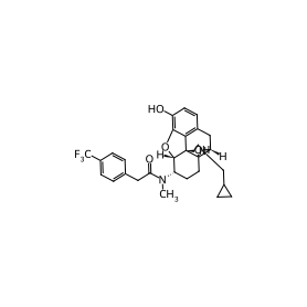 CN(C(=O)Cc1ccc(C(F)(F)F)cc1)[C@H]1CC[C@@]2(O)[C@H]3Cc4ccc(O)c5c4[C@@]2(CCN3CC2CC2)[C@H]1O5